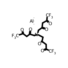 O=C(CC(=O)C(F)(F)F)[CH2][Al]([CH2]C(=O)CC(=O)C(F)(F)F)[CH2]C(=O)CC(=O)C(F)(F)F.[Al]